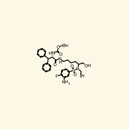 CC(C)CN(C(CO)CCCCNC(=O)[C@@H](NC(=O)OC(C)(C)C)C(c1ccccc1)c1ccccc1)S(=O)(=O)c1ccc(F)c(N)c1